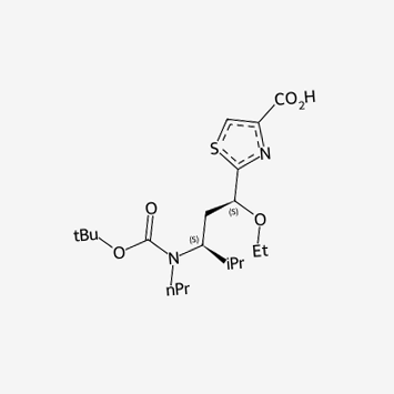 CCCN(C(=O)OC(C)(C)C)[C@@H](C[C@H](OCC)c1nc(C(=O)O)cs1)C(C)C